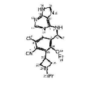 [C-]#[N+]c1c(Cl)cc(C(C)Nc2ncnc3[nH]cnc23)c(OCC)c1C1CN(C(C)C)C1